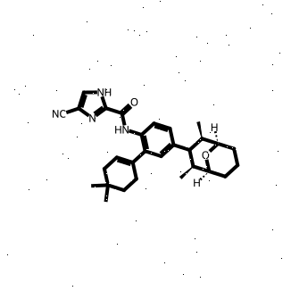 C[C@@H]1C(c2ccc(NC(=O)c3nc(C#N)c[nH]3)c(C3=CCC(C)(C)CC3)c2)[C@H](C)[C@@H]2CCC[C@H]1O2